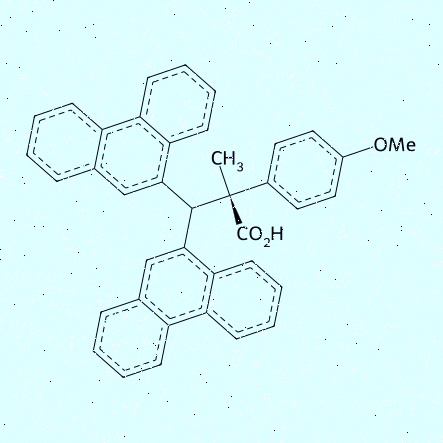 COc1ccc([C@](C)(C(=O)O)C(c2cc3ccccc3c3ccccc23)c2cc3ccccc3c3ccccc23)cc1